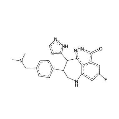 CN(C)Cc1ccc(C2CNc3cc(F)cc4c(=O)[nH]nc(c34)C2c2ncn[nH]2)cc1